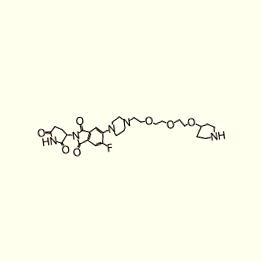 O=C1CCC(N2C(=O)c3cc(F)c(N4CCN(CCOCCOCCOC5CCNCC5)CC4)cc3C2=O)C(=O)N1